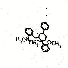 COc1ccccc1C1(O)CCC(c2ccccc2)CC1Cc1ccccc1N(C)C